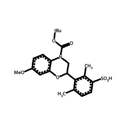 COc1ccc2c(c1)OC(c1c(C)ccc(S(=O)(=O)O)c1C)CN2C(=O)OC(C)(C)C